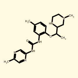 Cc1ccc(OC(C)C2CN(C)CCN2)c(NC(=O)Nc2cnc(C)cn2)c1